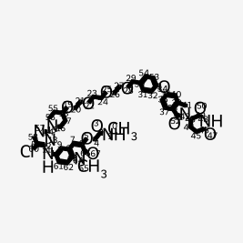 CNC(=O)COc1cc2cc(Nc3nc(N4CCC(OCCOCCOCCOCc5ccc(Oc6ccc7c(c6)CN(C6CCC(=O)NC6=O)C7=O)cc5)CC4)ncc3Cl)ccc2n(C)c1=O